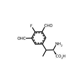 CC(c1cc(C=O)c(F)c(C=O)c1)[C@@H](N)C(=O)O